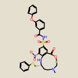 CN1CCOC(=O)c2cc(S(=O)(=O)NC(=O)c3cccc(Oc4ccccc4)c3)cc([N+](=O)[O-])c2N[C@@H](CSc2ccccc2)CC1